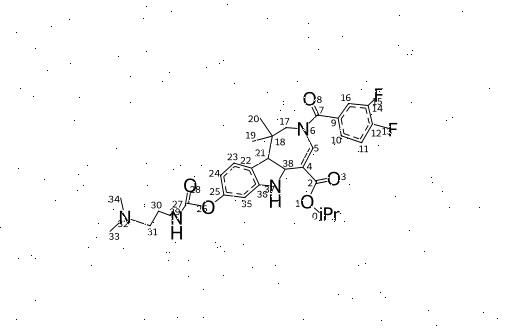 CC(C)OC(=O)C1=CN(C(=O)c2ccc(F)c(F)c2)CC(C)(C)C2c3ccc(OC(=O)NCCN(C)C)cc3NC12